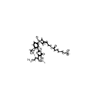 CCCC(=N)c1nc(-c2cc([S+]([O-])N3CC(CCCOC(=O)CCCCO[N+](=O)[O-])C3)ccc2OCC)[nH]c(=O)c1NC